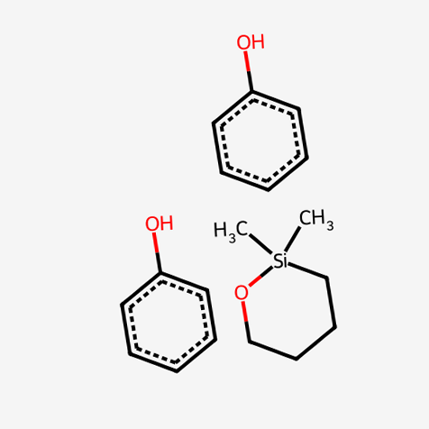 C[Si]1(C)CCCCO1.Oc1ccccc1.Oc1ccccc1